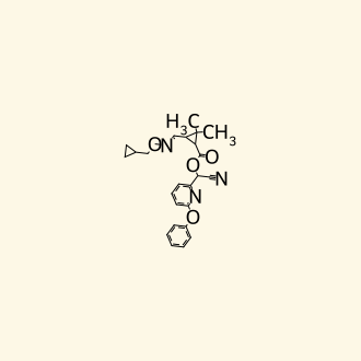 CC1(C)C(C=NOCC2CC2)C1C(=O)OC(C#N)c1cccc(Oc2ccccc2)n1